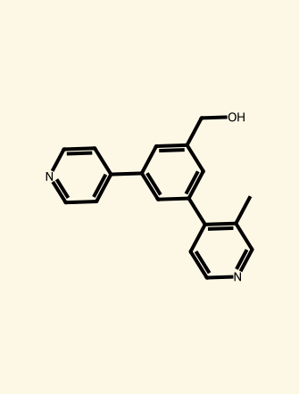 Cc1cnccc1-c1cc(CO)cc(-c2ccncc2)c1